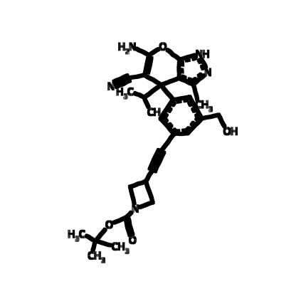 Cc1n[nH]c2c1C(c1cc(C#CC3CN(C(=O)OC(C)(C)C)C3)cc(CO)c1)(C(C)C)C(C#N)=C(N)O2